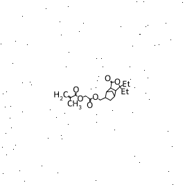 C=C(C)C(=O)OCC(=O)OCC1CC2CC1C1C(=O)OC(CC)(CC)C21